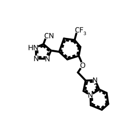 N#Cc1[nH]nnc1-c1cc(OCc2cn3ccccc3n2)cc(C(F)(F)F)c1